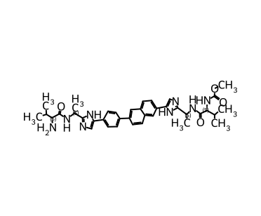 COC(=O)N[C@H](C(=O)N[C@@H](C)c1ncc(-c2ccc3cc(-c4ccc(-c5cnc([C@H](C)NC(=O)[C@@H](N)C(C)C)[nH]5)cc4)ccc3c2)[nH]1)C(C)C